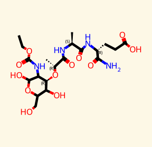 CCOC(=O)NC1C(O)OC(CO)C(O)[C@@H]1O[C@H](C)C(=O)N[C@@H](C)C(=O)N[C@H](CCC(=O)O)C(N)=O